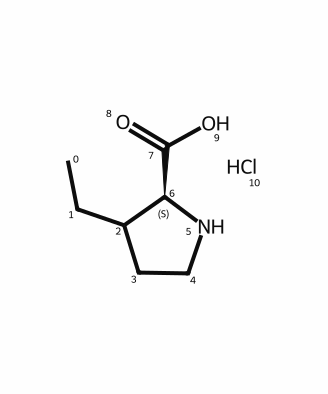 CCC1CCN[C@@H]1C(=O)O.Cl